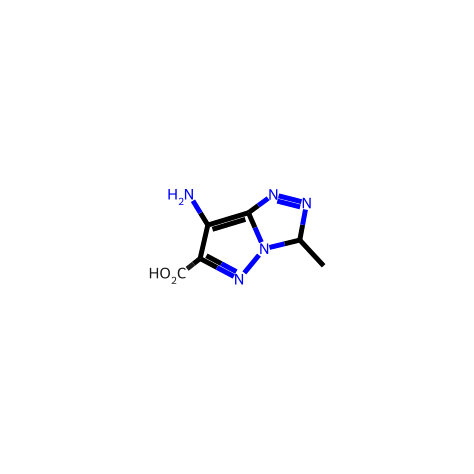 CC1N=Nc2c(N)c(C(=O)O)nn21